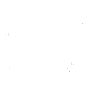 COc1ccc(-c2nnsc2C(=O)NCCc2ccc(OC)c(OC)c2)cc1